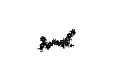 CC(=O)N1CCc2c(c(-c3cccc4c3CCN(c3cnc5cc(C(=O)N[C@H](C(=O)N6C[C@H](O)C[C@H]6C(=O)NCc6ccc(-c7scnc7C)cc6)C(C)(C)C)nn5c3)C4)nn2C2CCOCC2)C1